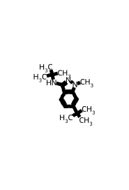 Cn1nc(NC(C)(C)C)c2ccc(C(C)(C)C)cc21